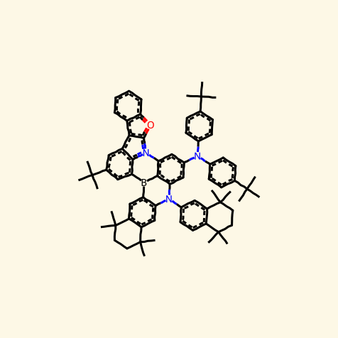 CC(C)(C)c1ccc(N(c2ccc(C(C)(C)C)cc2)c2cc3c4c(c2)-n2c5oc6ccccc6c5c5cc(C(C)(C)C)cc(c52)B4c2cc4c(cc2N3c2ccc3c(c2)C(C)(C)CCC3(C)C)C(C)(C)CCC4(C)C)cc1